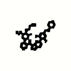 C[C@H]1CN(c2ccncc2Nc2ncc3ccc(-c4c(F)cc(COC5CCOCC5)cc4F)nn23)C[C@@H](N)[C@H]1OCCC#N